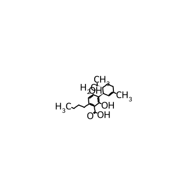 C=C(C)[C@@H]1CCC(C)=C[C@H]1c1c(O)cc(CCCC)c(C(=O)O)c1O